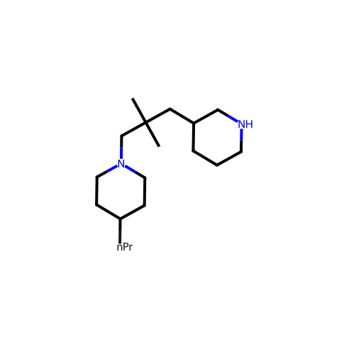 CCCC1CCN(CC(C)(C)CC2CCCNC2)CC1